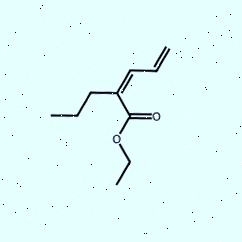 C=CC=C(CCC)C(=O)OCC